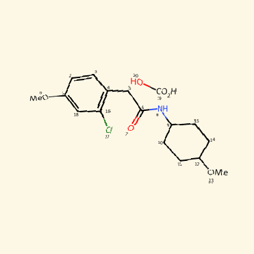 COc1ccc(CC(=O)NC2CCC(OC)CC2)c(Cl)c1.O=C(O)O